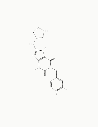 Cn1c(N[C@H]2CCNC2)nc2c1c(=O)n(Cc1ccc(Cl)c(Cl)c1)c(=O)n2C